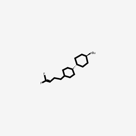 CCCC[C@H]1CC[C@H](C2CCC(CCC=C(F)F)CC2)CC1